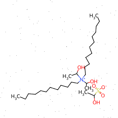 CC(O)S(=O)(=O)[O-].CCCCCCCCCCCC[N+](CCCCCCCCCCCC)(C(C)O)C(C)O